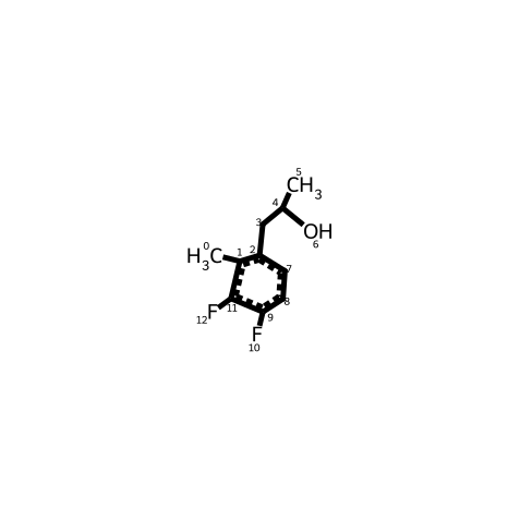 Cc1c(CC(C)O)ccc(F)c1F